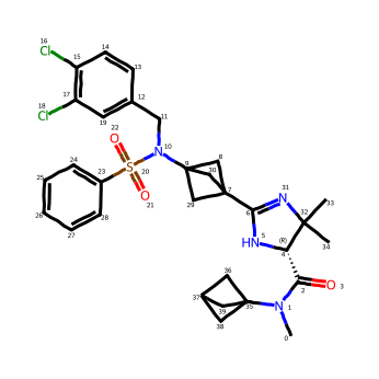 CN(C(=O)[C@@H]1NC(C23CC(N(Cc4ccc(Cl)c(Cl)c4)S(=O)(=O)c4ccccc4)(C2)C3)=NC1(C)C)C12CC(C1)C2